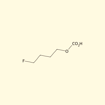 O=C(O)OCCCCF